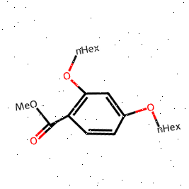 CCCCCCOc1ccc(C(=O)OC)c(OCCCCCC)c1